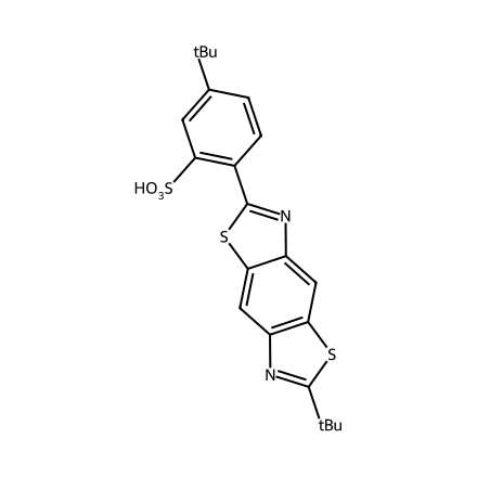 CC(C)(C)c1ccc(-c2nc3cc4sc(C(C)(C)C)nc4cc3s2)c(S(=O)(=O)O)c1